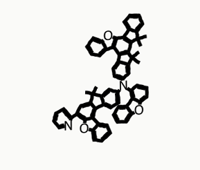 CC1(C)c2cc(N(c3ccc4c(c3)C(C)(C)c3c5c(c6oc7ccccc7c6c3-4)-c3ccccc3C5(C)C)c3cccc4oc5ccccc5c34)ccc2-c2c1cc(-c1ccccn1)c1oc3ccccc3c21